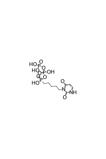 O=c1cc[nH]c(=O)n1CCCCCP(=O)(O)OP(=O)(O)OP(=O)(O)O